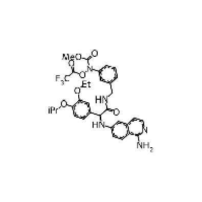 CCOc1cc(C(Nc2ccc3c(N)nccc3c2)C(=O)NCc2cccc(N(OC(=O)C(F)(F)F)C(=O)OC)c2)ccc1OC(C)C